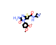 COc1ccc(-n2c(=O)c(N)nc3sc(C(=O)NC4CN(C)C4)cc32)cc1OC